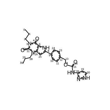 CCCn1c(=O)c2[nH]c(-c3ccc(COC(=O)Nc4cc[nH]n4)cc3)cc2n(CCC)c1=O